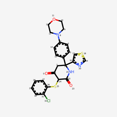 O=C1CC(c2ccc(N3CCOCC3)cc2)(c2cscn2)NC(=O)C1Sc1ccccc1Cl